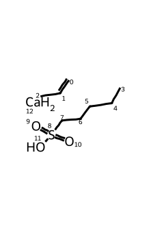 C=CC.CCCCCS(=O)(=O)O.[CaH2]